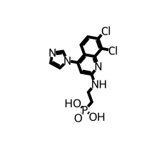 O=P(O)(O)CCNc1cc(-n2ccnc2)c2ccc(Cl)c(Cl)c2n1